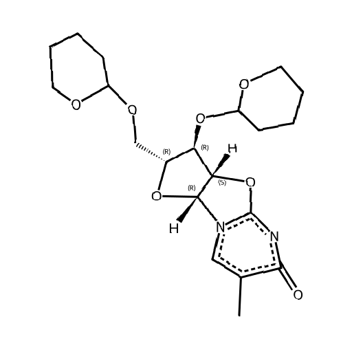 Cc1cn2c(nc1=O)O[C@H]1[C@H](OC3CCCCO3)[C@@H](COC3CCCCO3)O[C@H]12